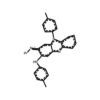 Cc1ccc(Nc2cc3nc4ccccc4n(-c4ccc(C)cc4)c-3c/c2=N/C(C)C)cc1